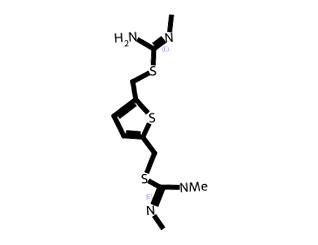 C/N=C(\N)SCc1ccc(CS/C(=N/C)NC)s1